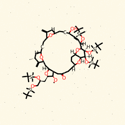 C=C1C[C@@H]2CCC(O)/C=C/[C@H](O[Si](C)(C)C(C)(C)C)[C@@H]3O[C@H]4CC[C@H](CC(=O)CC5[C@H](CC6O[C@@H](CCC1O2)C[C@@H](C)C6=C)O[C@H](C[C@@H](CO[Si](C)(C)C(C)(C)C)O[Si](C)(C)C(C)(C)C)[C@@H]5OC)O[C@@H]4[C@H](O[Si](C)(C)C(C)(C)C)[C@@H]3O[Si](C)(C)C(C)(C)C